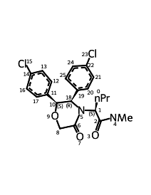 CCC[C@@H](C(=O)NC)N1C(=O)CO[C@@H](c2ccc(Cl)cc2)[C@H]1c1ccc(Cl)cc1